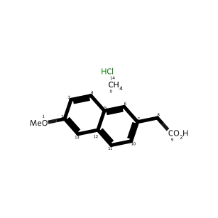 C.COc1ccc2cc(CC(=O)O)ccc2c1.Cl